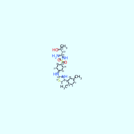 Cc1ccc(C)c(C2CSC(Nc3ccc(S(=O)(=O)NC(N)CC(C)O)cc3)N2)c1